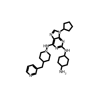 NC1CCC(Nc2nc(NN3CCC(Cc4cccnc4)CC3)c3ncn(C4CCCC4)c3n2)CC1